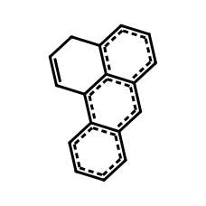 C1=Cc2c3ccccc3cc3cccc(c23)C1